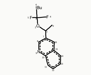 CC(OC(F)(F)C(C)(C)C)c1cnc2ccccc2c1